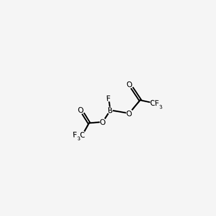 O=C(OB(F)OC(=O)C(F)(F)F)C(F)(F)F